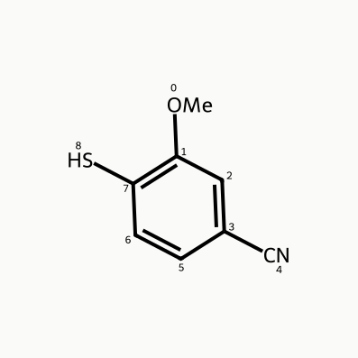 COc1cc(C#N)ccc1S